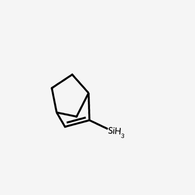 [SiH3]C1=CC2CCC1C2